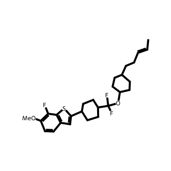 C/C=C/CCC1CCC(OC(F)(F)C2CCC(c3cc4ccc(OC)c(F)c4s3)CC2)CC1